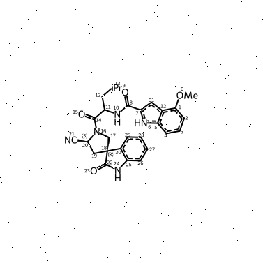 COc1cccc2[nH]c(C(=O)NC(CC(C)C)C(=O)N3C[C@]4(C[C@H]3C#N)C(=O)Nc3ccccc34)cc12